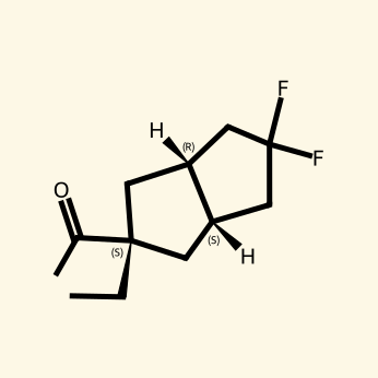 CC[C@]1(C(C)=O)C[C@H]2CC(F)(F)C[C@H]2C1